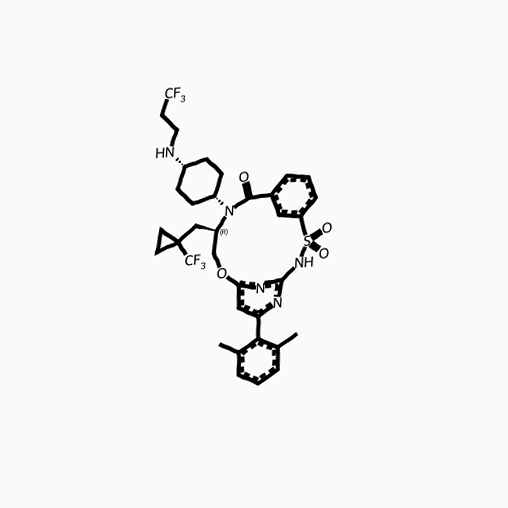 Cc1cccc(C)c1-c1cc2nc(n1)NS(=O)(=O)c1cccc(c1)C(=O)N([C@H]1CC[C@@H](NCCC(F)(F)F)CC1)[C@H](CC1(C(F)(F)F)CC1)CO2